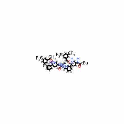 C[C@@H](OC[C@@]1(c2ccccc2)CC[C@H](NC(=O)NCc2cccc([C@]3(CO[C@H](C)c4cc(C(F)(F)F)cc(C(F)(F)F)c4)CC[C@H](NC(=O)C(C)(C)C)CN3)c2)CN1)c1cc(C(F)(F)F)cc(C(F)(F)F)c1